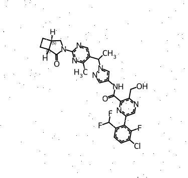 Cc1nc(N2C[C@H]3CC[C@H]3C2=O)ncc1C(C)n1cc(NC(=O)c2nc(-c3c(C(F)F)ccc(Cl)c3F)cnc2CO)cn1